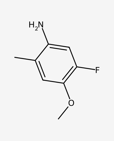 COc1cc(C)c(N)cc1F